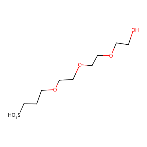 O=S(=O)(O)CCCOCCOCCOCCO